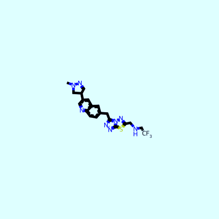 CN1CC(c2cnc3ccc(Cc4nnc5sc(CNCC(F)(F)F)nn45)cc3c2)C=N1